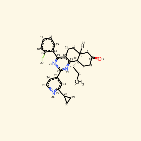 CCC[C@@]12CCC(=O)C[C@H]1CCc1c(-c3ccccc3F)nc(-c3ccnc(C4CC4)c3)nc12